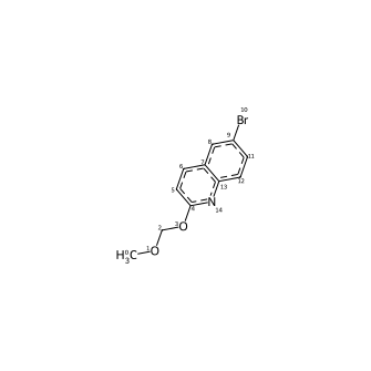 COCOc1ccc2cc(Br)ccc2n1